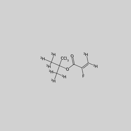 [2H]C([2H])=C(F)C(=O)OC(C([2H])([2H])[2H])(C([2H])([2H])[2H])C(Cl)(Cl)Cl